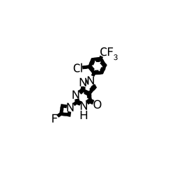 O=c1[nH]c(N2CC(F)C2)nc2nn(-c3ccc(C(F)(F)F)cc3Cl)cc12